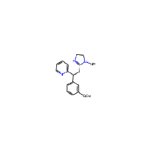 CCCN1CCN=C1CC(c1cccc(OC)c1)c1ccccn1